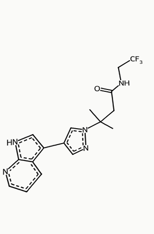 CC(C)(CC(=O)NCC(F)(F)F)n1cc(-c2c[nH]c3ncccc23)cn1